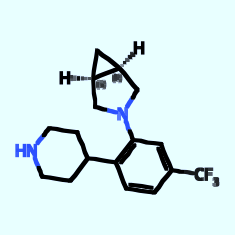 FC(F)(F)c1ccc(C2CCNCC2)c(N2C[C@H]3C[C@H]3C2)c1